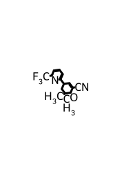 CC1(C)CC(c2cccc(C(F)(F)F)n2)C=C(C#N)C1=O